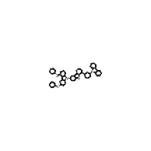 c1ccc(Oc2ccc3c(c2)c2c(Oc4ccccc4)cccc2n3-c2ccc3oc4c(-c5cccc(-n6c7ccccc7c7ccccc76)c5)cccc4c3c2)cc1